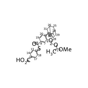 COC(C)OCOc1cc(C(=O)Sc2ccc(C(=O)O)cc2)ccc1C12CC3CC(CC(C3)C1)C2